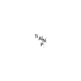 [Al].[N].[P].[Ti]